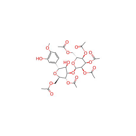 COc1ccc([C@H]2O[C@H](COC(C)=O)[C@@H](OC(C)=O)[C@H](O[C@H]3O[C@H](COC(C)=O)[C@@H](OC(C)=O)[C@@H](OC(C)=O)[C@H]3OC(C)=O)[C@@H]2O)cc1O